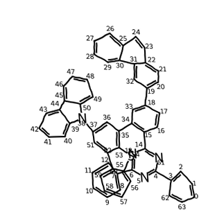 c1ccc(-c2nc(-c3ccccc3)nc(-c3ccc(-c4ccc5ccc6ccccc6c5c4)cc3-c3cc(-n4c5ccccc5c5ccccc54)cc4c3sc3ccccc34)n2)cc1